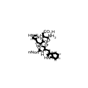 CCCCCCCCCC(=O)NC(Cc1c[nH]c2ccccc12)C(=O)NC(Cc1c[nH]cn1)C(=O)NC(CC(=O)O)C(N)=O